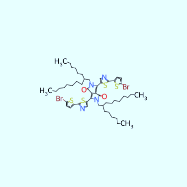 CCCCCCCCC(CCCCCC)CN1C(=O)C2=C(c3cnc(-c4ccc(Br)s4)s3)N(CC(CCCCCC)CCCCCCCC)C(=O)C2=C1c1cnc(-c2ccc(Br)s2)s1